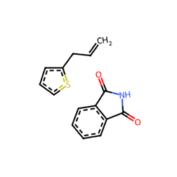 C=CCc1cccs1.O=C1NC(=O)c2ccccc21